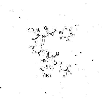 CC(C)(C)OC(=O)N/C(=C\c1cccc(/C=C(\NC(=O)OCc2ccccc2)C(=O)O)c1)C(=O)OCC[Si](C)(C)C